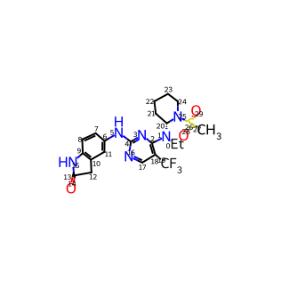 CCN(c1nc(Nc2ccc3c(c2)CC(=O)N3)ncc1C(F)(F)F)[C@@H]1CCCCN1S(C)(=O)=O